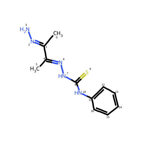 CC(=N\N)/C(C)=N/NC(=S)Nc1ccccc1